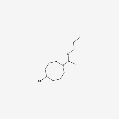 CCC1CCCN(C(C)OCCF)CCC1